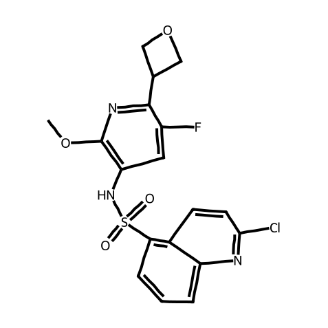 COc1nc(C2COC2)c(F)cc1NS(=O)(=O)c1cccc2nc(Cl)ccc12